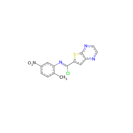 Cc1ccc([N+](=O)[O-])cc1N=C(Cl)c1cc2nccnc2s1